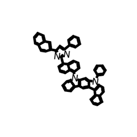 c1ccc(-c2cc(-c3ccc4ccccc4c3)nc(-c3cccc4c(-n5c6ccccc6c6cc7c8c9ccccc9ccc8n(-c8ccccc8)c7cc65)cccc34)n2)cc1